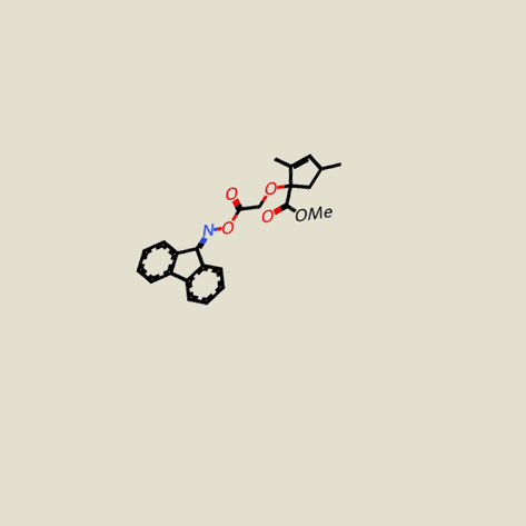 COC(=O)C1(OCC(=O)ON=C2c3ccccc3-c3ccccc32)CC(C)C=C1C